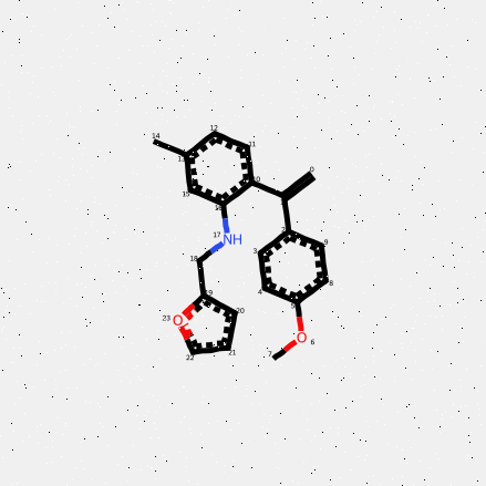 C=C(c1ccc(OC)cc1)c1ccc(C)cc1NCc1ccco1